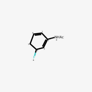 CC(=O)NC1=CC(F)CC=C1